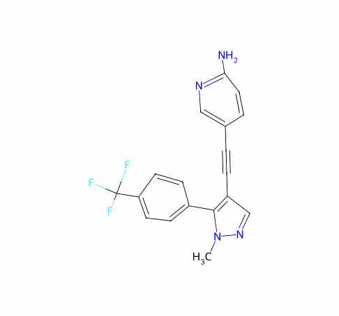 Cn1ncc(C#Cc2ccc(N)nc2)c1-c1ccc(C(F)(F)F)cc1